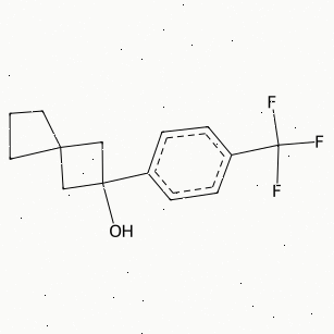 OC1(c2ccc(C(F)(F)F)cc2)CC2(CCC2)C1